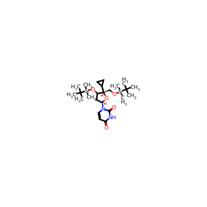 CC(C)(C)[Si](C)(C)OC[C@@]1(C2CC2)O[C@@H](n2ccc(=O)[nH]c2=O)CC1O[Si](C)(C)C(C)(C)C